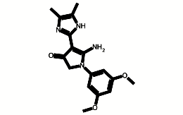 COc1cc(OC)cc(N2CC(=O)C(c3nc(C)c(C)[nH]3)=C2N)c1